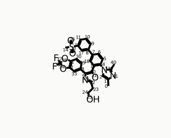 Cc1cn(-c2ccc(-c3cccc(S(C)(=O)=O)c3)cc2-c2oc(CCO)nc2-c2ccc3c(c2)OC(F)(F)O3)c(C)n1